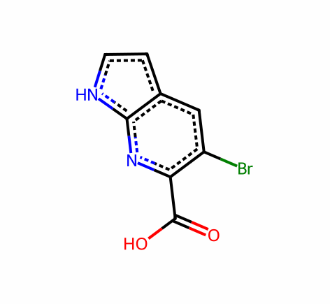 O=C(O)c1nc2[nH]ccc2cc1Br